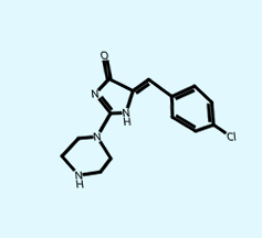 O=C1N=C(N2CCNCC2)N/C1=C\c1ccc(Cl)cc1